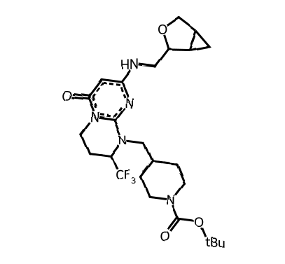 CC(C)(C)OC(=O)N1CCC(CN2c3nc(NCC4OCC5CC54)cc(=O)n3CCC2C(F)(F)F)CC1